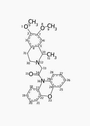 COc1cc2c(cc1OC)C(C)N(CC(=O)N1c3ccccc3Oc3ccccc31)CC2